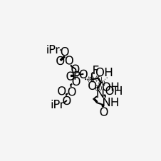 CC(C)OC(=O)OCOP(=O)(OCOC(=O)OC(C)C)OC[C@@]1(CF)O[C@@H](N2C=CC(=O)NC2O)[C@](C)(O)[C@@H]1O